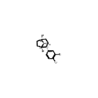 CN1[C@@H]2CC[C@H](c3ccc(Cl)c(Cl)c3)[C@H]1CC2